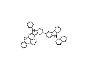 c1ccc(-n2c3ccc(-c4ccc5c(c4)c4ccccc4n5-c4cccc5ccccc45)cc3c3c4cccc5c4c(cc32)Oc2ccccc2-5)cc1